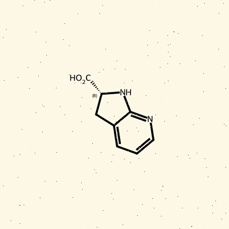 O=C(O)[C@H]1Cc2cccnc2N1